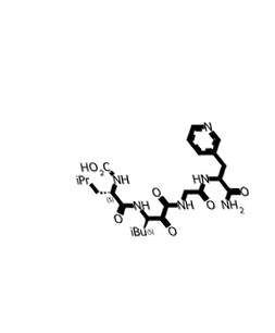 CC[C@H](C)C(NC(=O)[C@H](CC(C)C)NC(=O)O)C(=O)C(=O)NCC(=O)NC(Cc1cccnc1)C(N)=O